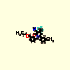 CCCOCc1cccc(Cn2c(-c3cccc(C)c3)cc(C(F)(F)F)c(C#N)c2=O)c1